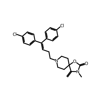 C=C1N(C)C(=O)OC12CCN(CCC=C(c1ccc(Cl)cc1)c1ccc(Cl)cc1)CC2